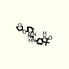 CC1(C)C(=O)Nc2cc(Nc3nc4cccc(O[C@@H]5CCOC5)n4n3)ccc21